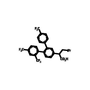 CC(C)CC(C(=O)O)c1ccc(-c2ccc(C(F)(F)F)cc2C(F)(F)F)c(-c2ccc(C(F)(F)F)cc2)c1